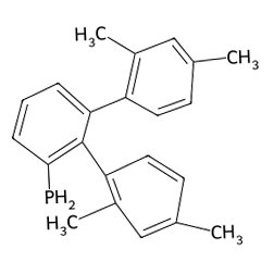 Cc1ccc(-c2cccc(P)c2-c2ccc(C)cc2C)c(C)c1